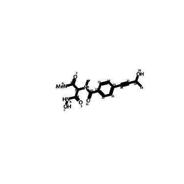 CNC(=O)C(C(=O)NO)N(C)C(=O)c1ccc(C#CC(C)O)cc1